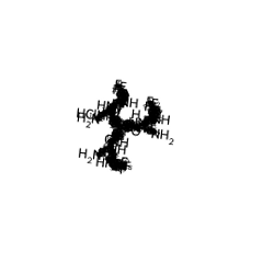 Cc1[nH]c2ccc(C(F)(F)F)cc2c1CC(=O)N[C@H](CCCCN)C(=O)Nc1ccc(C(c2ccc(NC(=O)[C@@H](CCCCN)NC(=O)Cc3c(C)[nH]c4ccc(C(F)(F)F)cc34)cc2)c2ccc(NC(=O)[C@@H](CCCCN)NC(=O)Cc3c(C)[nH]c4ccc(C(F)(F)F)cc34)cc2)cc1.Cl